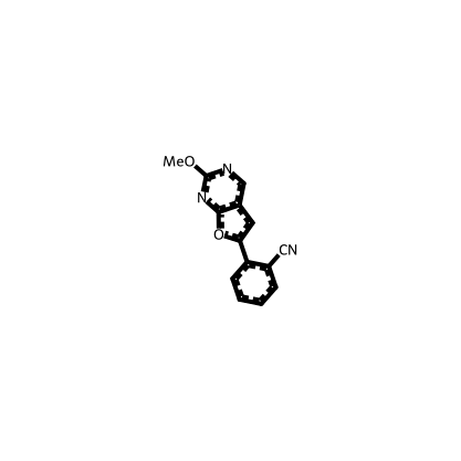 COc1ncc2cc(-c3ccccc3C#N)oc2n1